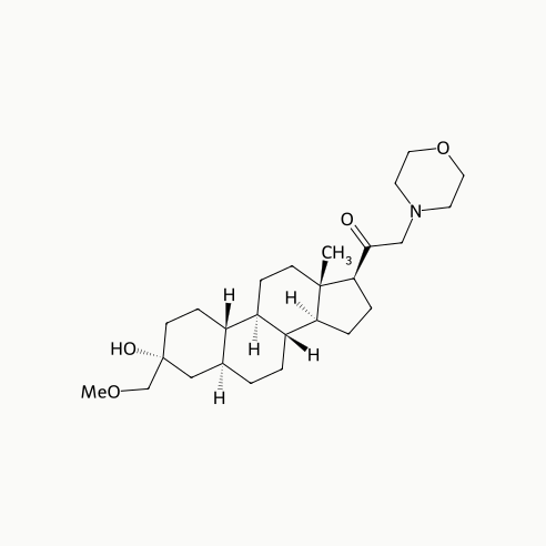 COC[C@@]1(O)CC[C@H]2[C@@H](CC[C@@H]3[C@@H]2CC[C@]2(C)[C@@H](C(=O)CN4CCOCC4)CC[C@@H]32)C1